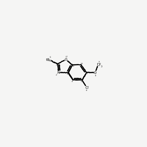 CC(C)(C)c1nc2cc(Cl)c(OC(F)(F)F)cc2o1